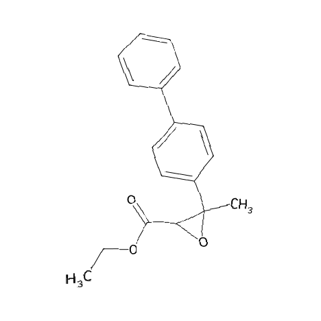 CCOC(=O)C1OC1(C)c1ccc(-c2ccccc2)cc1